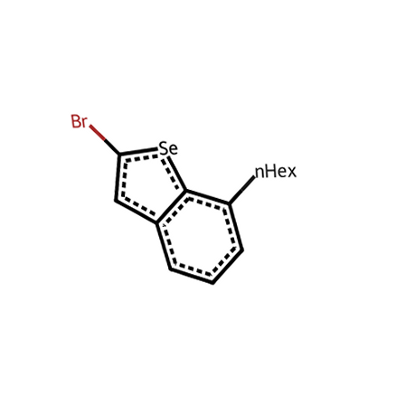 CCCCCCc1cccc2cc(Br)[se]c12